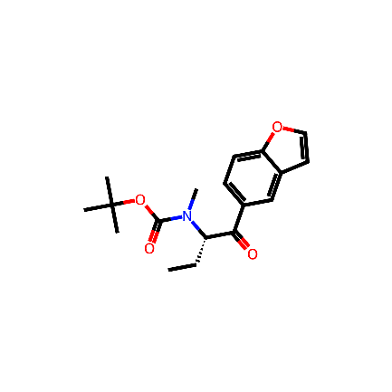 CC[C@@H](C(=O)c1ccc2occc2c1)N(C)C(=O)OC(C)(C)C